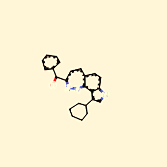 O=C(c1ccccc1)c1ccc2ccc3ncc(C4CCCCC4)c3c2nn1